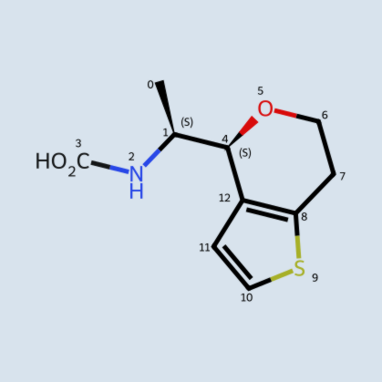 C[C@H](NC(=O)O)[C@H]1OCCc2sccc21